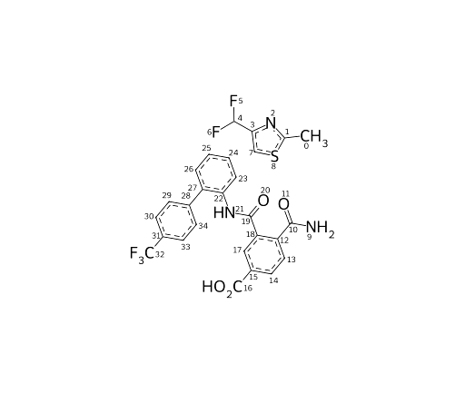 Cc1nc(C(F)F)cs1.NC(=O)c1ccc(C(=O)O)cc1C(=O)Nc1ccccc1-c1ccc(C(F)(F)F)cc1